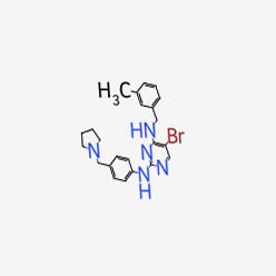 Cc1cccc(CNc2nc(Nc3ccc(CN4CCCC4)cc3)ncc2Br)c1